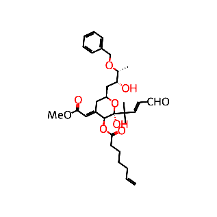 C=CCCCCC(=O)O[C@H]1/C(=C/C(=O)OC)C[C@@H](C[C@@H](O)[C@@H](C)OCc2ccccc2)O[C@@]1(O)C(C)(C)/C=C/C=O